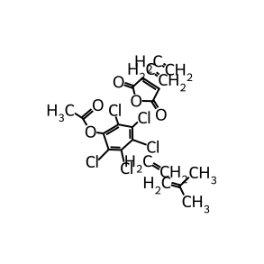 C=C.C=C.C=C.C=C(C)C.CC(=O)Oc1c(Cl)c(Cl)c(Cl)c(Cl)c1Cl.O=C1C=CC(=O)O1